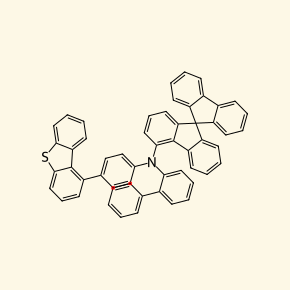 c1ccc(-c2ccccc2N(c2ccc(-c3cccc4sc5ccccc5c34)cc2)c2cccc3c2-c2ccccc2C32c3ccccc3-c3ccccc32)cc1